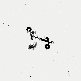 CCC(CNc1ccccn1)NCCNCCc1cc(C(C#N)c2ccccc2)ccn1.Cl.Cl.Cl.Cl.Cl